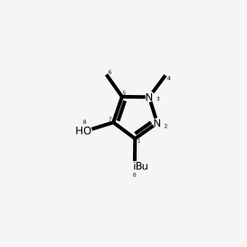 CCC(C)c1nn(C)c(C)c1O